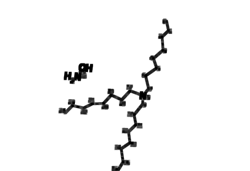 CCCCCCCCN(CCCCCCCC)CCCCCCCC.NO